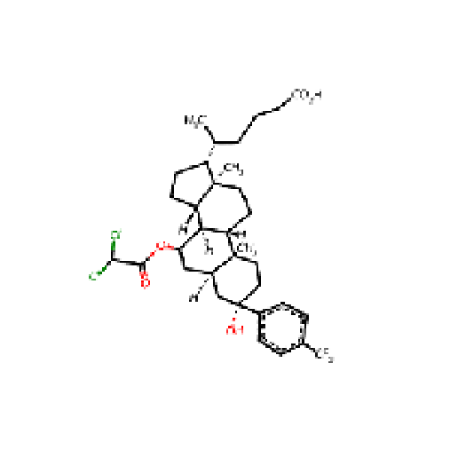 CC(CCCC(=O)O)[C@H]1CC[C@H]2[C@@H]3[C@H](OC(=O)C(Cl)Cl)C[C@@H]4C[C@](O)(c5ccc(C(F)(F)F)cc5)CC[C@]4(C)[C@H]3CC[C@]12C